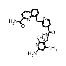 Cc1cc(N)nc(C)c1CNC(=O)c1ccnc(Cc2cccc3ccc(C(N)=O)nc23)c1